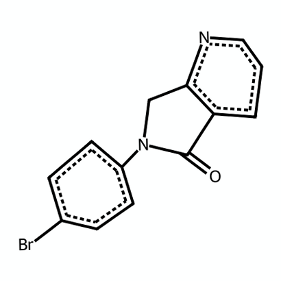 O=C1c2cccnc2CN1c1ccc(Br)cc1